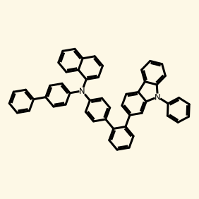 c1ccc(-c2ccc(N(c3ccc(-c4ccccc4-c4ccc5c6ccccc6n(-c6ccccc6)c5c4)cc3)c3cccc4ccccc34)cc2)cc1